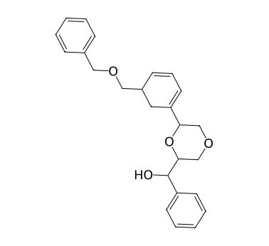 OC(c1ccccc1)C1COCC(C2=CC=CC(COCc3ccccc3)C2)O1